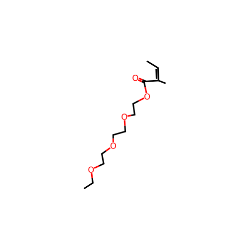 CC=C(C)C(=O)OCCOCCOCCOCC